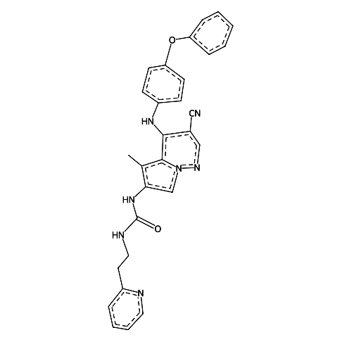 Cc1c(NC(=O)NCCc2ccccn2)cn2ncc(C#N)c(Nc3ccc(Oc4ccccc4)cc3)c12